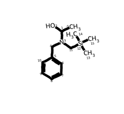 CC(O)N(Cc1ccccc1)C[Si](C)(C)C